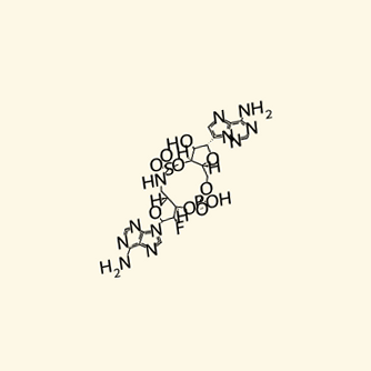 Nc1ncnc2c1ncn2[C@@H]1O[C@@H]2CNS(=O)(=O)O[C@H]3[C@@H](O)[C@H](c4cnc5c(N)ncnn45)O[C@@H]3COP(=O)(O)O[C@H]2[C@H]1F